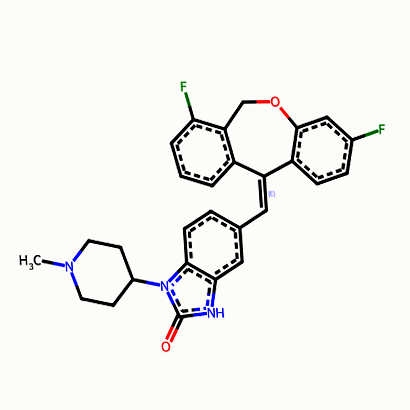 CN1CCC(n2c(=O)[nH]c3cc(/C=C4/c5ccc(F)cc5OCc5c(F)cccc54)ccc32)CC1